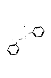 CO[SiH](O[SiH2]c1ccccc1)c1ccccc1